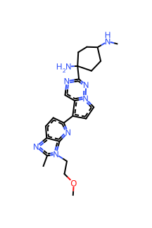 CNC1CCC(N)(c2ncc3c(-c4ccc5nc(C)n(CCOC)c5n4)ccn3n2)CC1